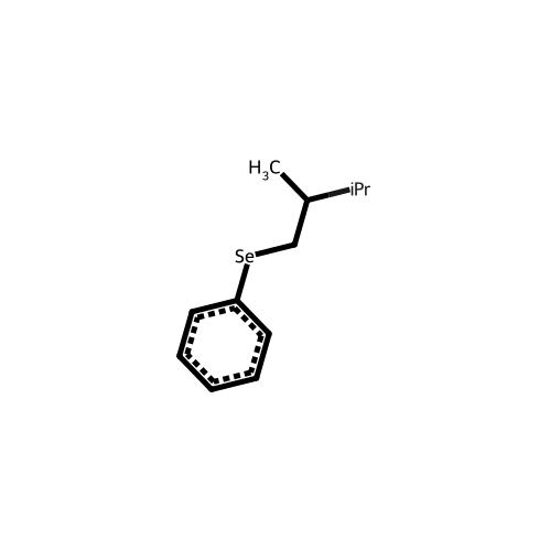 CC(C)C(C)C[Se]c1ccccc1